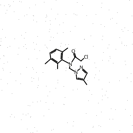 Cc1cnn(CN(C(=O)CCl)c2c(C)ccc(C)c2C)c1